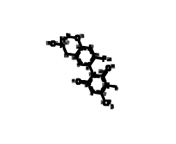 Cn1c(C(F)(F)F)cc(=O)n(-c2cc3c(cc2F)OC[NH+]([O-])C3)c1=O